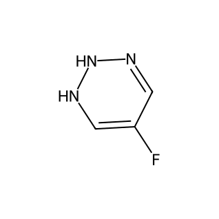 FC1=CNNN=C1